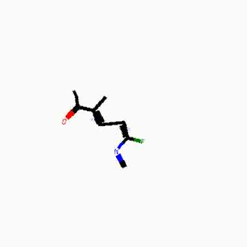 C=N/C(F)=C\C=C(/C)C(C)=O